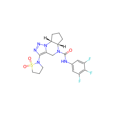 O=C(Nc1cc(F)c(F)c(F)c1)N1Cc2c(N3CCCS3(=O)=O)nnn2[C@@H]2CCC[C@@H]21